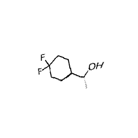 C[C@@H](O)C1CCC(F)(F)CC1